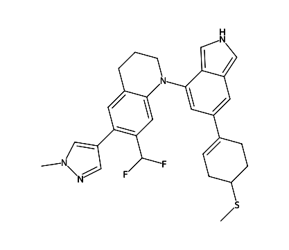 CSC1CC=C(c2cc(N3CCCc4cc(-c5cnn(C)c5)c(C(F)F)cc43)c3c[nH]cc3c2)CC1